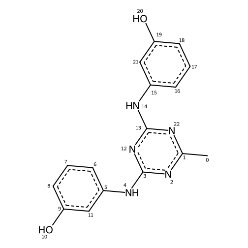 Cc1nc(Nc2cccc(O)c2)nc(Nc2cccc(O)c2)n1